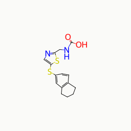 O=C(O)NCc1ncc(Sc2ccc3c(c2)CCCC3)s1